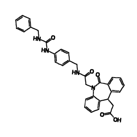 O=C(O)CC1c2ccccc2C(=O)N(CC(=O)NCc2ccc(NC(=O)NCc3ccccc3)cc2)c2ccccc21